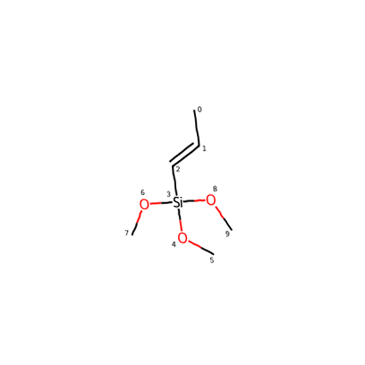 CC=C[Si](OC)(OC)OC